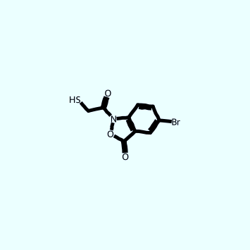 O=C(CS)n1oc(=O)c2cc(Br)ccc21